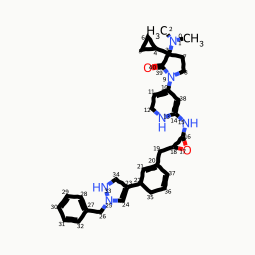 CN(C)C1(C2CC2)CCN(C2=CCNC(NC3OC3CC3=CC(C4=CN(Cc5ccccc5)NC4)CC=C3)=C2)C1=O